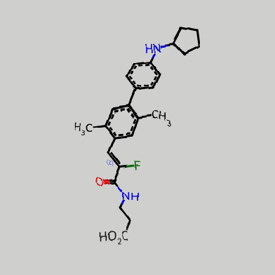 Cc1cc(-c2ccc(NC3CCCC3)cc2)c(C)cc1/C=C(\F)C(=O)NCCC(=O)O